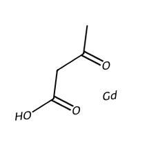 CC(=O)CC(=O)O.[Gd]